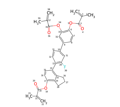 C=C(C)C(=O)Oc1ccc(-c2ccc(-c3ccc(OC(=O)C(=C)C)c4c3CCC4)c(F)c2)cc1OC(=O)C(=C)C